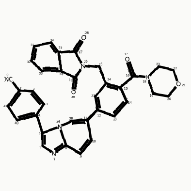 N#Cc1ccc(-c2cnc3ccc(-c4ccc(C(=O)N5CCOCC5)c(CN5C(=O)c6ccccc6C5=O)c4)cn23)cc1